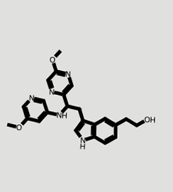 COc1cncc(NC([CH]c2c[nH]c3ccc(CCO)cc23)c2cnc(OC)cn2)c1